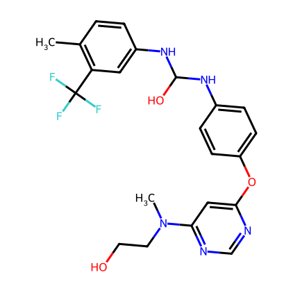 Cc1ccc(NC(O)Nc2ccc(Oc3cc(N(C)CCO)ncn3)cc2)cc1C(F)(F)F